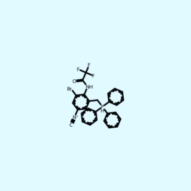 [C-]#[N+]c1cc(Br)c(NC(=O)C(F)(F)F)c(C[PH](c2ccccc2)(c2ccccc2)c2ccccc2)c1